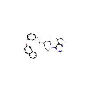 CC1CNc2ncnc(N3CCC(C(=O)Nc4cccc(Oc5ccc6ccccc6c5)c4)CC3)c21